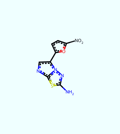 Nc1nn2c(-c3ccc([N+](=O)[O-])o3)cnc2s1